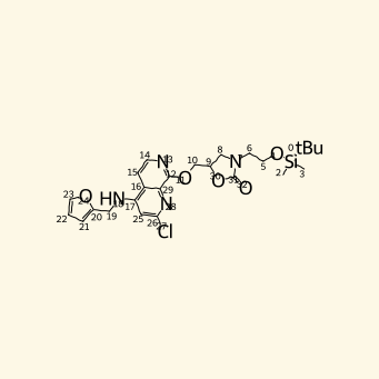 CC(C)(C)[Si](C)(C)OCCN1CC(COc2nccc3c(NCc4ccco4)cc(Cl)nc23)OC1=O